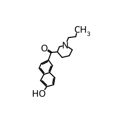 CCCN1CCCC(C(=O)c2ccc3cc(O)ccc3c2)C1